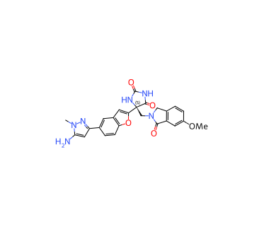 COc1ccc2c(c1)C(=O)N(C[C@@]1(c3cc4cc(-c5cc(N)n(C)n5)ccc4o3)NC(=O)NC1=O)C2